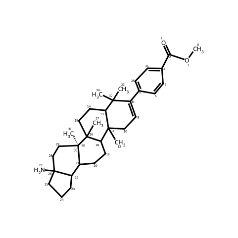 COC(=O)c1ccc(C2=CCC3(C)C(CCC4(C)C3CCC3C5CCCC5(N)CC[C@]34C)C2(C)C)cc1